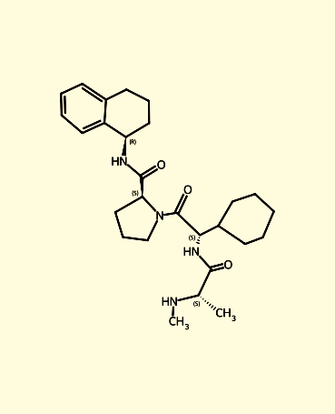 CN[C@@H](C)C(=O)N[C@H](C(=O)N1CCC[C@H]1C(=O)N[C@@H]1CCCc2ccccc21)C1CCCCC1